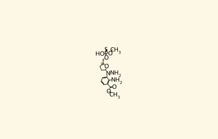 COC(=O)c1cccc(N(N)C2CC[C@@H](COP(O)(=S)OC)O2)c1N